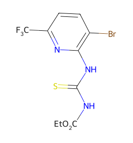 CCOC(=O)NC(=S)Nc1nc(C(F)(F)F)ccc1Br